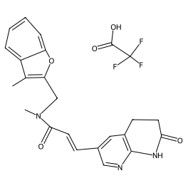 Cc1c(CN(C)C(=O)C=Cc2cnc3c(c2)CCC(=O)N3)oc2ccccc12.O=C(O)C(F)(F)F